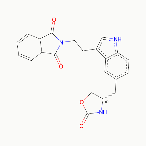 O=C1N[C@@H](Cc2ccc3[nH]cc(CCN4C(=O)C5C=CC=CC5C4=O)c3c2)CO1